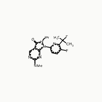 CSc1ncc2c(=O)n(C(C)C)n(-c3ccc(F)c(C(C)(C)F)n3)c2n1